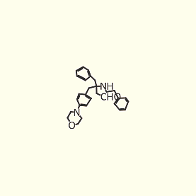 O=CCC(Cc1ccccc1)(Cc1ccc(N2CCOCC2)cc1)NCCc1ccccc1